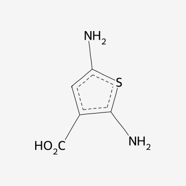 Nc1cc(C(=O)O)c(N)s1